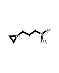 CC(=O)N(C)CCCN1CC1